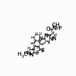 CNC(=O)c1cnn2ccc(N3CCCc4cc(-c5cnn(C)c5)c(C(F)F)cc43)nc12